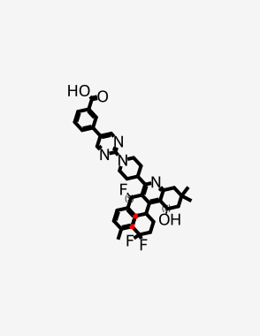 Cc1ccc([C@H](F)c2c(C3CCN(c4ncc(-c5cccc(C(=O)O)c5)cn4)CC3)nc3c(c2C2CCC(F)(F)CC2)[C@@H](O)CC(C)(C)C3)cc1